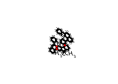 CC1(C)c2ccccc2-c2c(N(c3ccc(-c4cccc5ccc6c7ccccc7sc6c45)cc3)c3ccccc3-c3ccc4ccccc4c3)cccc21